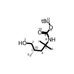 C[C@H](CO)CC(C)(C)NC(=O)OC(C)(C)C